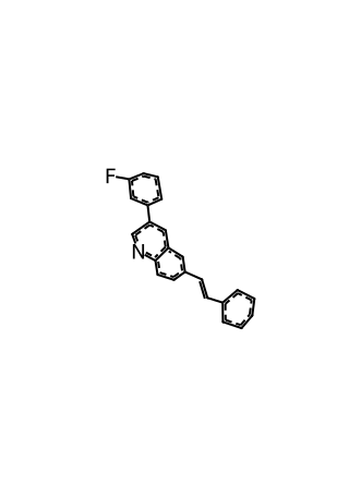 Fc1cccc(-c2cnc3ccc(/C=C/c4ccccc4)cc3c2)c1